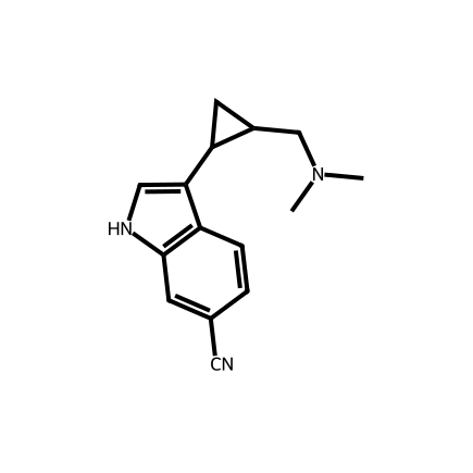 CN(C)CC1CC1c1c[nH]c2cc(C#N)ccc12